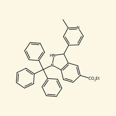 CCOC(=O)c1ccc2c(c1)C(c1ccnc(C)c1)NN2C(c1ccccc1)(c1ccccc1)c1ccccc1